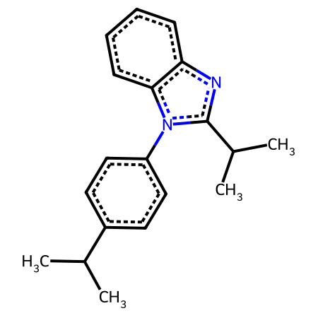 CC(C)c1ccc(-n2c(C(C)C)nc3ccccc32)cc1